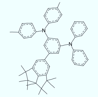 Cc1ccc(N(c2ccc(C)cc2)c2cc(-c3cc4c5c(c3)C(C)(C)C(C)(C)C5(C)C(C)(C)C4(C)C)cc(N(c3ccccc3)c3ccccc3)c2)cc1